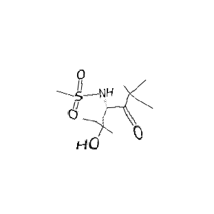 CC(C)(C)C(=O)[C@@H](NS(C)(=O)=O)C(C)(C)O